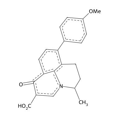 COc1ccc(-c2ccc3c(=O)c(C(=O)O)cn4c3c2CCC4C)cc1